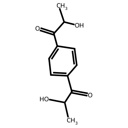 CC(O)C(=O)c1ccc(C(=O)C(C)O)cc1